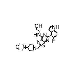 OCCNc1nc(-c2c(F)ccc3[nH]ccc23)nc2sc(CN3CCC(N4CCOCC4)CC3)nc12